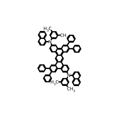 Cc1cc(C)cc(N(c2ccc3c(c2)c2cc(-c4ccccc4)c(-c4ccccc4)cc2c2cc4c5ccc(N(c6cc(C)cc(C)c6)c6cccc7ccccc67)cc5c5cc(-c6ccccc6)c(-c6ccccc6)cc5c4cc32)c2cccc3ccccc23)c1